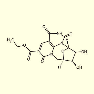 CCOC(=O)c1cc2c(=O)[nH]c(=O)n3c2n(c1=O)C[C@H]1O[C@H]3C(O)[C@H]1O